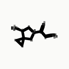 C=CC(=O)N1C[C@H](N)C2(CC2)C1